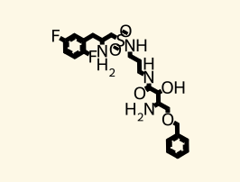 NC(Cc1cc(F)ccc1F)CS(=O)(=O)NCCCNC(=O)C(O)C(N)COCc1ccccc1